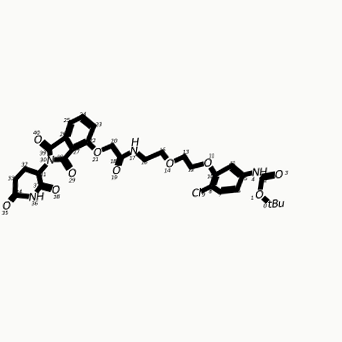 CC(C)(C)OC(=O)Nc1ccc(Cl)c(OCCOCCNC(=O)COc2cccc3c2C(=O)N(C2CCC(=O)NC2=O)C3=O)c1